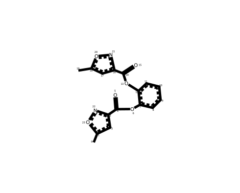 Cc1cc(C(=O)Oc2ccccc2OC(=O)c2cc(C)on2)no1